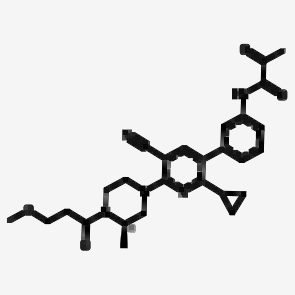 COCCC(=O)N1CCN(c2nc(C3CC3)c(-c3cccc(NC(=O)C(C)=O)c3)cc2C#N)C[C@H]1C